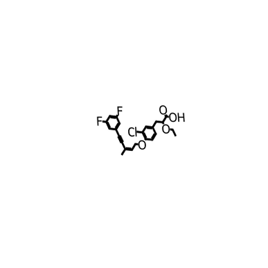 CCOC(Cc1ccc(OCC=C(C)C#Cc2cc(F)cc(F)c2)c(Cl)c1)C(=O)O